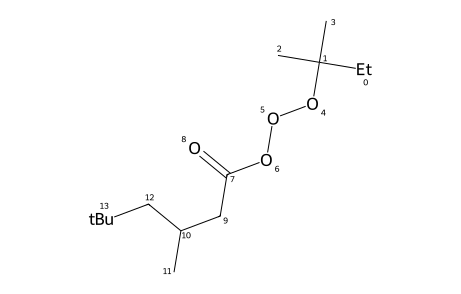 CCC(C)(C)OOOC(=O)CC(C)CC(C)(C)C